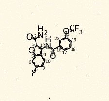 NC(=O)c1oc2cc(F)ccc2c1NC(=O)c1cccc(OC(F)(F)F)c1